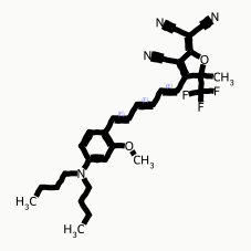 CCCCN(CCCC)c1ccc(/C=C/C=C/C=C/C2=C(C#N)C(=C(C#N)C#N)OC2(C)C(F)(F)F)c(OC)c1